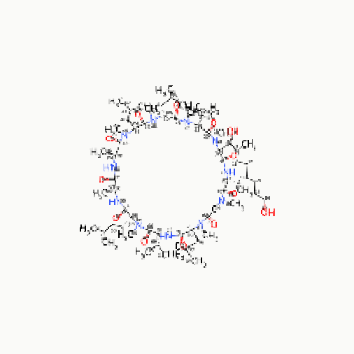 CC[C@H]1NC(=O)[C@H]([C@H](O)[C@H](C)CCCCCCO)N(C)C(=O)[C@@H](C(C)C)N(C)C(=O)[C@@H](CC(C)C)N(C)C(=O)[C@H](CC(C)C)N(C)C(=O)[C@H](C)NC(=O)[C@@H](C)NC(=O)[C@@H](CCC(C)C)N(C)C(=O)[C@@H](C(C)C)NC(=O)[C@H](CC(C)C)N(C)C(=O)CN(C)C1=O